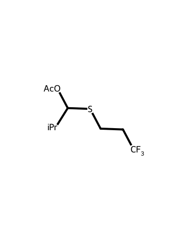 CC(=O)OC(SCCC(F)(F)F)C(C)C